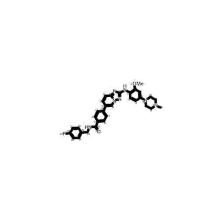 COc1cc(N2CCN(C)CC2)ccc1Nc1nc2ccc(-c3ccc(C(=O)NCc4ccc(F)cc4)cc3)cn2n1